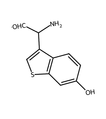 NC([C]=O)c1csc2cc(O)ccc12